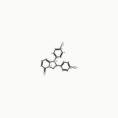 O=c1cccc2n1CC(c1ccc(Cl)cc1)N2c1ccc(Cl)cc1